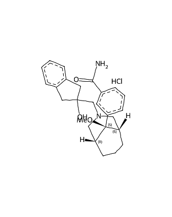 CO[C@]1(c2cccc(C(N)=O)c2)[C@@H]2CCC[C@H]1CN(CC1(O)Cc3ccccc3C1)C2.Cl